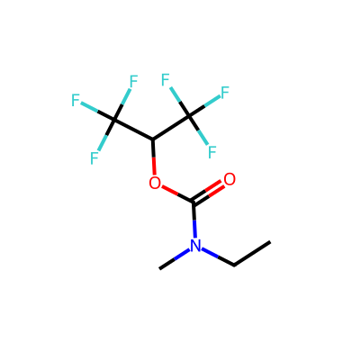 CCN(C)C(=O)OC(C(F)(F)F)C(F)(F)F